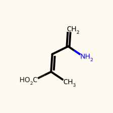 C=C(N)C=C(C)C(=O)O